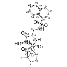 CC12CCC(C(S(=O)(=O)NC(CNS(=O)(=O)c3cccc4ccccc34)C(=O)NO)C1=O)C2(C)C